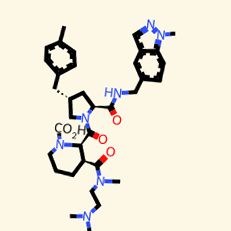 Cc1ccc(C[C@@H]2C[C@@H](C(=O)NCc3ccc4c(cnn4C)c3)N(C(=O)[C@H]3[C@@H](C(=O)N(C)CCN(C)C)CCCN3C(=O)O)C2)cc1